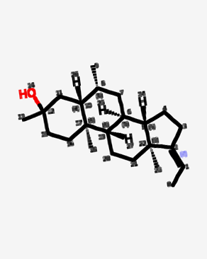 C/C=C1/CC[C@H]2[C@@H]3C[C@@H](C)[C@H]4CC(C)(O)CC[C@]4(C)[C@H]3CC[C@]12C